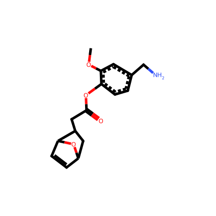 COc1cc(CN)ccc1OC(=O)CC1CC2C=CC1O2